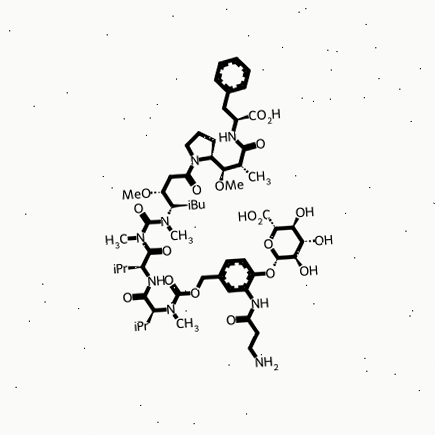 CC[C@H](C)[C@@H]([C@@H](CC(=O)N1CCC[C@H]1[C@H](OC)[C@@H](C)C(=O)N[C@@H](Cc1ccccc1)C(=O)O)OC)N(C)C(=O)N(C)C(=O)[C@@H](NC(=O)[C@H](C(C)C)N(C)C(=O)OCc1ccc(O[C@@H]2O[C@H](C(=O)O)[C@@H](O)[C@H](O)[C@H]2O)c(NC(=O)CCN)c1)C(C)C